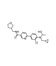 CC(O)N(CC1CC1)c1ccc(-c2ccc(C(=O)NCC3CCOC3)cn2)cc1Cl